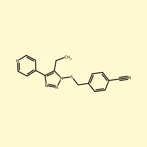 CCc1c(-c2ccncc2)nnn1SCc1ccc(C#N)cc1